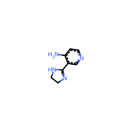 Nc1ccncc1C1=NCCN1